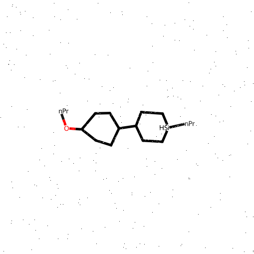 CCCOC1CCC(C2CC[SiH](CCC)CC2)CC1